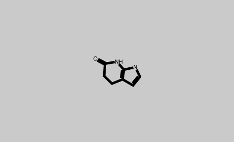 O=C1CCC2=C([N]C=C2)N1